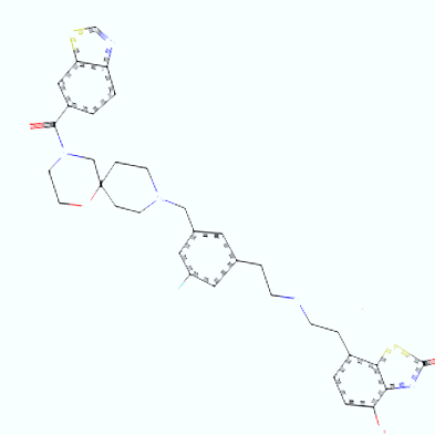 O=C(c1ccc2ncsc2c1)N1CCOC2(CCN(Cc3cc(F)cc(CCNC[C@H](O)c4ccc(O)c5[nH]c(=O)sc45)c3)CC2)C1